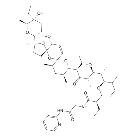 CC[C@@H](C(=O)[C@@H](C)[C@@H](O)[C@H](C)[C@@H]1O[C@@H]([C@@H](CC)C(=O)NCC(=O)Nc2ccccn2)CCC1C)[C@H]1O[C@]2(C=C[C@@H](O)[C@]3(CC[C@@](C)([C@H]4CC[C@](O)(CC)[C@H](C)O4)O3)O2)[C@H](C)C[C@@H]1C